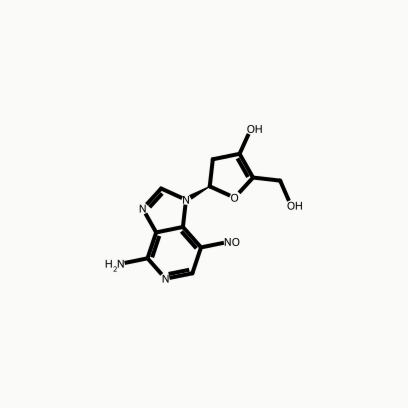 Nc1ncc(N=O)c2c1ncn2[C@H]1CC(O)=C(CO)O1